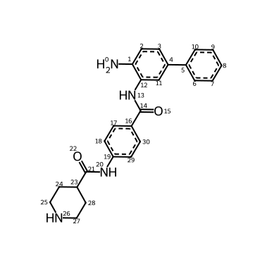 Nc1ccc(-c2ccccc2)cc1NC(=O)c1ccc(NC(=O)C2CCNCC2)cc1